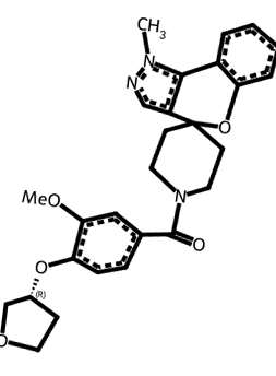 COc1cc(C(=O)N2CCC3(CC2)Oc2ccccc2-c2c3cnn2C)ccc1O[C@@H]1CCOC1